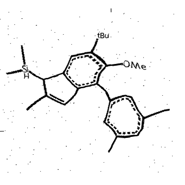 COc1c(C(C)(C)C)cc2c(c1-c1cc(C)cc(C)c1)C=C(C)C2[SiH](C)C